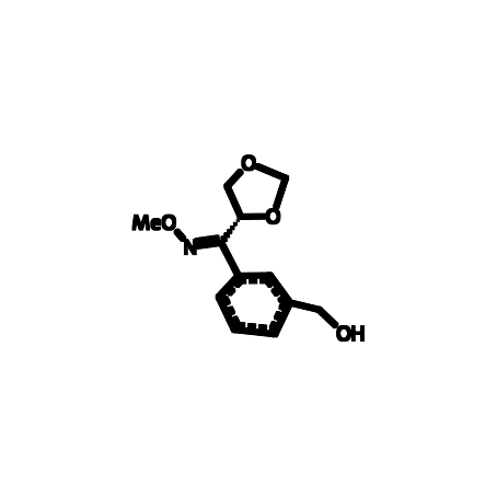 CON=C(c1cccc(CO)c1)[C@@H]1COCO1